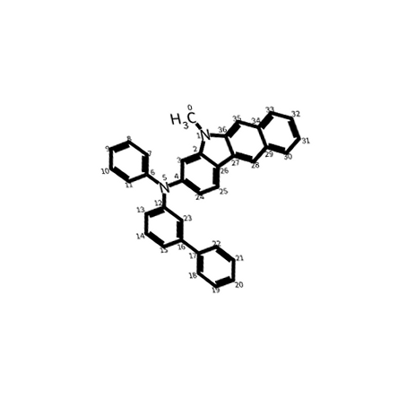 Cn1c2cc(N(c3ccccc3)c3cccc(-c4ccccc4)c3)ccc2c2cc3ccccc3cc21